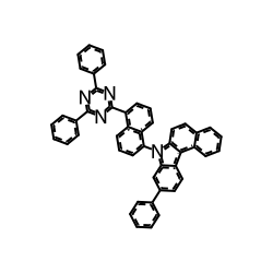 c1ccc(-c2ccc3c4c5ccccc5ccc4n(-c4cccc5c(-c6nc(-c7ccccc7)nc(-c7ccccc7)n6)cccc45)c3c2)cc1